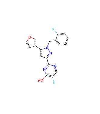 Oc1nc(-c2cc(-c3ccoc3)n(Cc3ccccc3F)n2)ncc1F